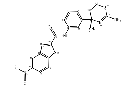 CC1(c2cccc(NC(=O)c3cc4cc([N+](=O)O)ccc4s3)c2)CCSC(N)=N1